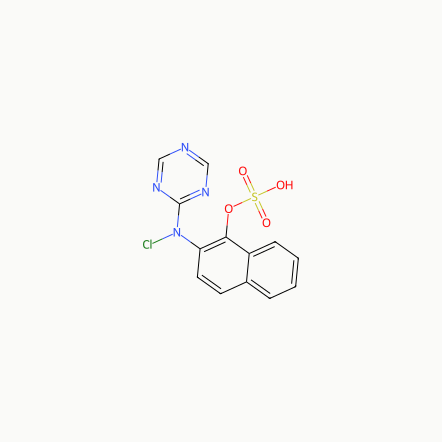 O=S(=O)(O)Oc1c(N(Cl)c2ncncn2)ccc2ccccc12